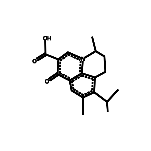 Cc1cc2c(=O)c(C(=O)O)cn3c2c(c1C(C)C)CCC3C